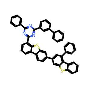 c1ccc(-c2cccc(-c3nc(-c4ccccc4)nc(-c4cccc5c4sc4cc(-c6cc(-c7ccccc7)c7c(c6)sc6ccccc67)ccc45)n3)c2)cc1